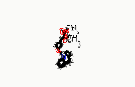 CCOC(=O)C(Cc1ccc(OCCN2c3ccccc3C=Cc3ccccc32)cc1)OCC